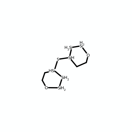 C1C[SiH](S[SiH]2CCO[SiH2][SiH2]2)[SiH2][SiH2]O1